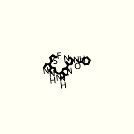 O=C(Nc1cncc(-c2cc3c(-c4cc5c(-c6ccc(F)s6)ccnc5[nH]4)n[nH]c3cn2)c1)C1CCCCC1